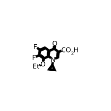 CCOc1c(F)c(F)cc2c(=O)c(C(=O)O)cn(C3CC3)c12